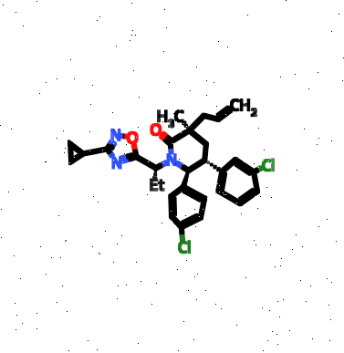 C=CC[C@@]1(C)C[C@H](c2cccc(Cl)c2)[C@@H](c2ccc(Cl)cc2)N([C@H](CC)c2nc(C3CC3)no2)C1=O